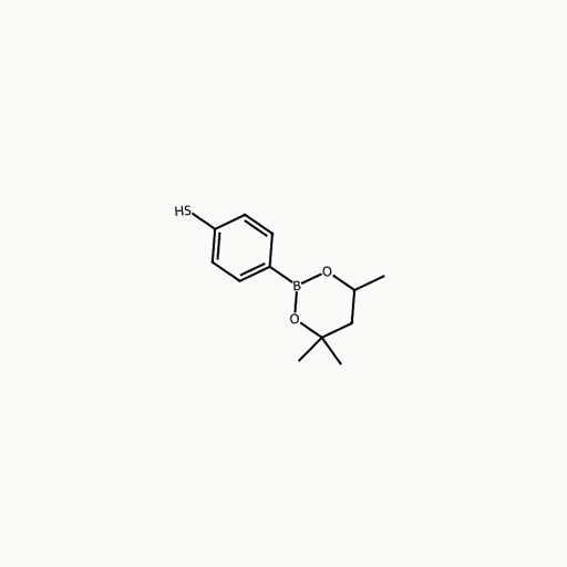 CC1CC(C)(C)OB(c2ccc(S)cc2)O1